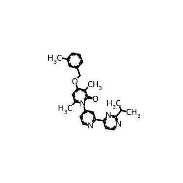 Cc1cccc(COc2cc(C)n(-c3ccnc(-c4ccnc(C(C)C)n4)c3)c(=O)c2C)c1